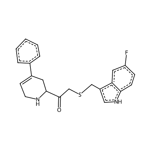 O=C(CSCc1c[nH]c2ccc(F)cc12)C1CC(c2ccccc2)=CCN1